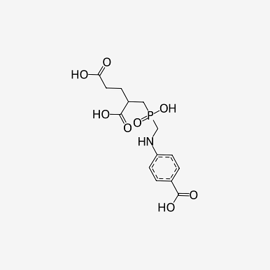 O=C(O)CCC(CP(=O)(O)CNc1ccc(C(=O)O)cc1)C(=O)O